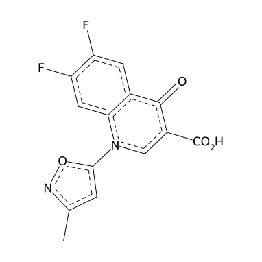 Cc1cc(-n2cc(C(=O)O)c(=O)c3cc(F)c(F)cc32)on1